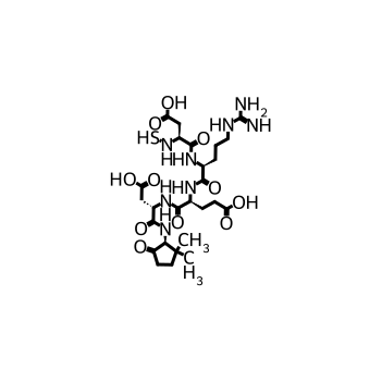 CC1(C)CCC(=O)[C@H]1NC(=O)[C@H](CC(=O)O)NC(=O)[C@H](CCC(=O)O)NC(=O)[C@H](CCCNC(=N)N)NC(=O)[C@H](CC(=O)O)NS